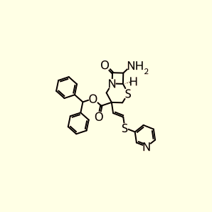 NC1C(=O)N2CC(C=CSc3cccnc3)(C(=O)OC(c3ccccc3)c3ccccc3)CS[C@H]12